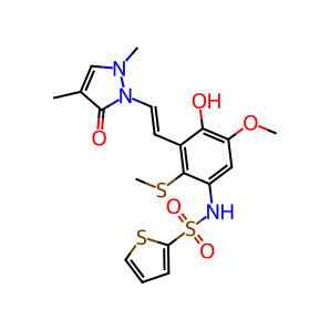 COc1cc(NS(=O)(=O)c2cccs2)c(SC)c(C=Cn2c(=O)c(C)cn2C)c1O